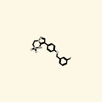 O=S1(=O)CCn2ncc(-c3ccc(OCc4cccc(F)c4)cc3)c2N1